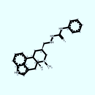 CN1C[C@H](CNNC(=S)Nc2ccccc2)CC2c3cccc4[nH]cc(c34)C[C@H]21